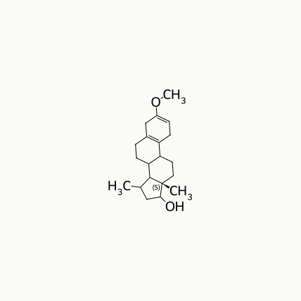 COC1=CCC2=C(CCC3C2CC[C@]2(C)C(O)CC(C)C32)C1